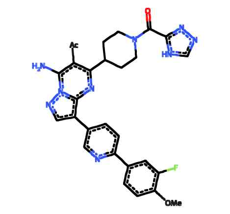 COc1ccc(-c2ccc(-c3cnn4c(N)c(C(C)=O)c(C5CCN(C(=O)c6nnc[nH]6)CC5)nc34)cn2)cc1F